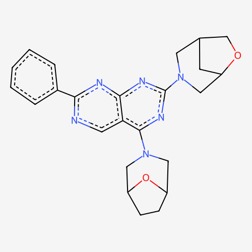 c1ccc(-c2ncc3c(N4CC5CCC(C4)O5)nc(N4CC5COC(C5)C4)nc3n2)cc1